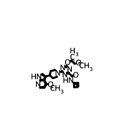 COC[C@@H](C)Oc1nc(C(=O)NC23CC(C2)C3)nc(N2CCC(c3c[nH]c4nccc(OC)c34)CC2)n1